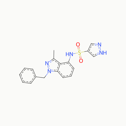 Cc1nn(Cc2ccccc2)c2cccc(NS(=O)(=O)c3cn[nH]c3)c12